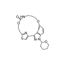 O=C1NCCCOc2ccc3c(c2)c(nn3C2CCCCO2)-c2csc(n2)CCO1